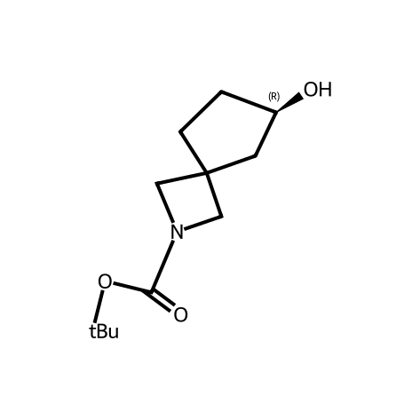 CC(C)(C)OC(=O)N1CC2(CC[C@@H](O)C2)C1